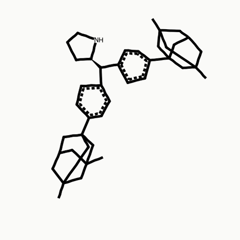 CC12CC3CC(C)(C1)CC(c1ccc(C(c4ccc(C56CC7CC(C)(CC(C)(C7)C5)C6)cc4)[C@H]4CCCN4)cc1)(C3)C2